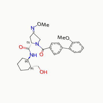 CON=C1C[C@@H](C(=O)N[C@@H]2CCCC[C@H]2CO)N(C(=O)c2ccc(-c3ccccc3OC)cc2)C1